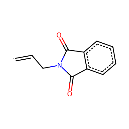 [CH]=CCN1C(=O)c2ccccc2C1=O